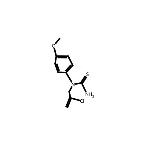 C=C(Cl)CN(C(N)=S)c1ccc(OC)cc1